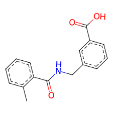 Cc1ccccc1C(=O)NCc1cccc(C(=O)O)c1